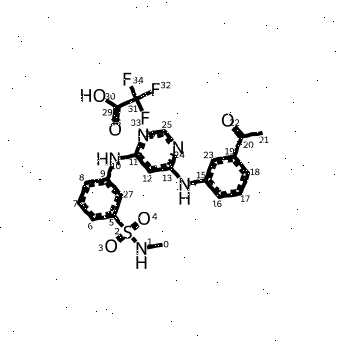 CNS(=O)(=O)c1cccc(Nc2cc(Nc3cccc(C(C)=O)c3)ncn2)c1.O=C(O)C(F)(F)F